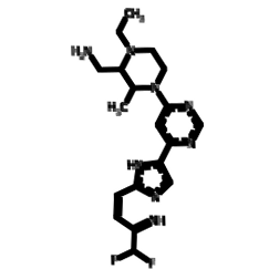 CCN1CCN(c2cc(-c3cnc(/C=C\C(=N)C(F)F)[nH]3)ncn2)C(C)C1CN